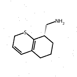 NC[C@@H]1CCCC2=C1SCC=C2